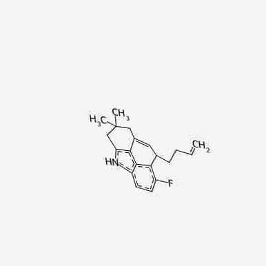 C=CCCC1C=C2CC(C)(C)Cc3[nH]c4ccc(F)c1c4c32